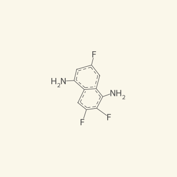 Nc1cc(F)cc2c(N)c(F)c(F)cc12